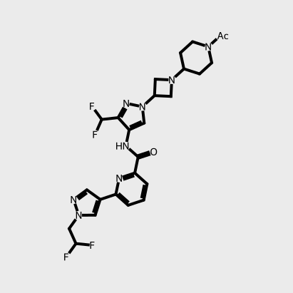 CC(=O)N1CCC(N2CC(n3cc(NC(=O)c4cccc(-c5cnn(CC(F)F)c5)n4)c(C(F)F)n3)C2)CC1